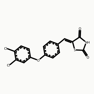 O=C1NC(=O)C(=Cc2ccc(Oc3ccc(Cl)c(Cl)c3)cc2)S1